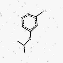 CC(C)Oc1[c]nnc(Cl)c1